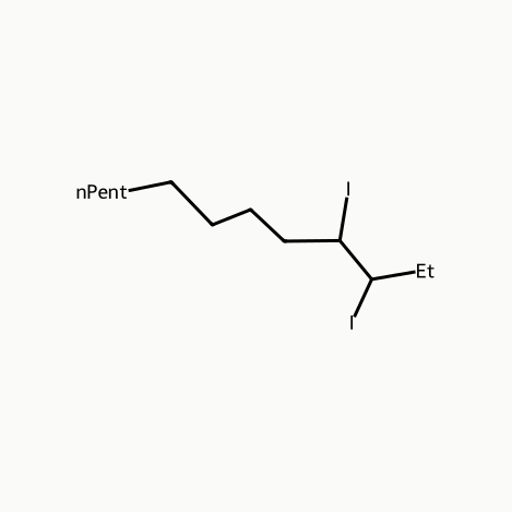 CCCCCCCCCC(I)C(I)CC